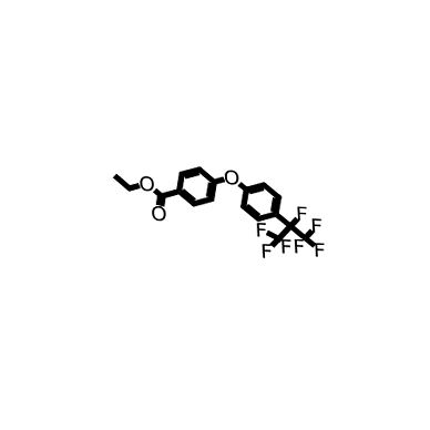 CCOC(=O)c1ccc(Oc2ccc(C(F)(C(F)(F)F)C(F)(F)F)cc2)cc1